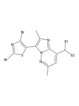 CCC(CC)c1cc(C)nn2c(-c3sc(Br)nc3Br)c(C)nc12